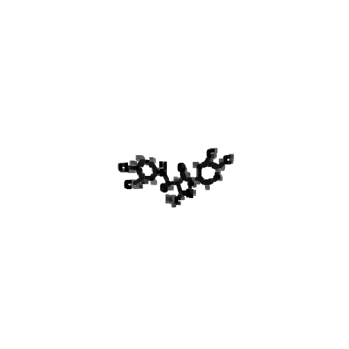 CC1=NN(c2ccc(Cl)c(Cl)c2)C(=O)C1C(=O)Nc1ccc(Cl)c(Cl)c1